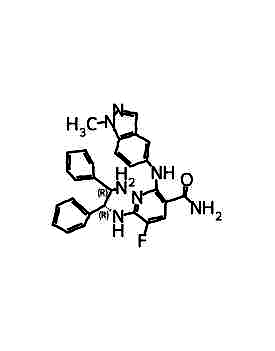 Cn1ncc2cc(Nc3nc(N[C@H](c4ccccc4)[C@H](N)c4ccccc4)c(F)cc3C(N)=O)ccc21